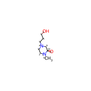 CN1CCN(CCCO)CC1=O